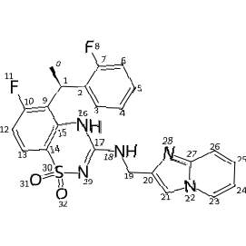 C[C@@H](c1ccccc1F)c1c(F)ccc2c1NC(NCc1cn3ccccc3n1)=NS2(=O)=O